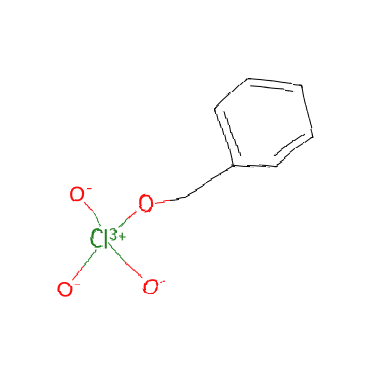 [O-][Cl+3]([O-])([O-])OCc1ccccc1